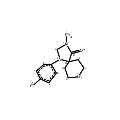 CN1CN(c2ccc(Cl)cc2)C2(CCNCC2)C1=O